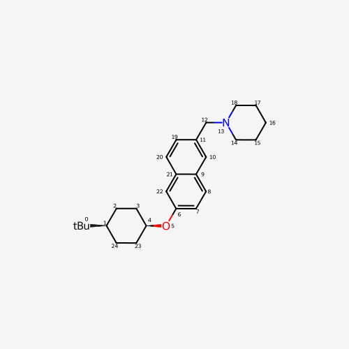 CC(C)(C)[C@H]1CC[C@@H](Oc2ccc3cc(CN4CCCCC4)ccc3c2)CC1